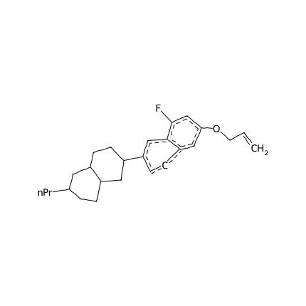 C=CCOc1cc(F)c2cc(C3CCC4CC(CCC)CCC4C3)ccc2c1